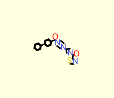 O=C(c1ccc(-c2ccccc2)cc1)N1CCN(C2CN(C(=O)c3nccs3)C2)CC1